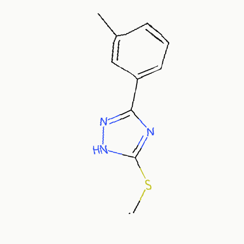 [CH2]Sc1nc(-c2cccc(C)c2)n[nH]1